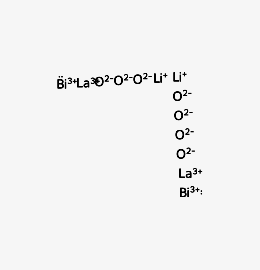 [Bi+3].[Bi+3].[La+3].[La+3].[Li+].[Li+].[O-2].[O-2].[O-2].[O-2].[O-2].[O-2].[O-2]